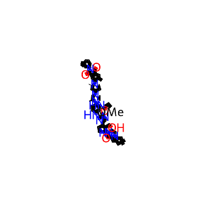 C=CC(=O)Nc1cc(Nc2nc(-c3ccnc(N4CCn5c(cc6c5CC(C)(C)C6)C4=O)c3CO)cnc2OC)ccc1N1CCN(C2CCN(c3cc4c(cc3C)C(=O)N(C3CCCC(C)(C)C3)C4=O)[C@@H](C)C2)C[C@@H]1C